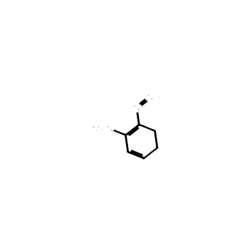 CNC1=C(N=N)CCC=C1